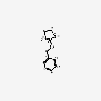 c1ccc(COC2=NCCS2)cc1